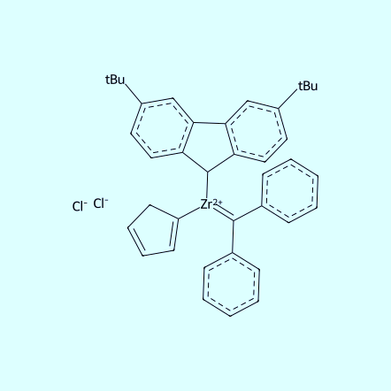 CC(C)(C)c1ccc2c(c1)-c1cc(C(C)(C)C)ccc1[CH]2[Zr+2]([C]1=CC=CC1)=[C](c1ccccc1)c1ccccc1.[Cl-].[Cl-]